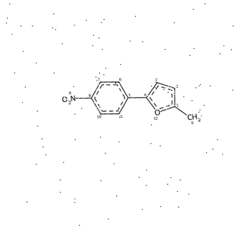 [CH2]c1ccc(-c2ccc([N+](=O)[O-])cc2)o1